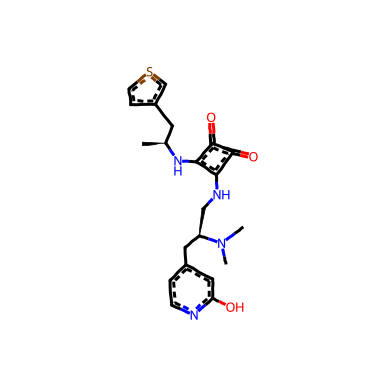 C[C@@H](Cc1ccsc1)Nc1c(NC[C@H](Cc2ccnc(O)c2)N(C)C)c(=O)c1=O